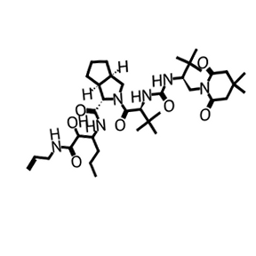 C=CCNC(=O)C(O)C(CCC)NC(=O)[C@@H]1[C@H]2CCC[C@H]2CN1C(=O)[C@@H](NC(=O)N[C@H](CN1C(=O)CC(C)(C)CC1=O)C(C)(C)C)C(C)(C)C